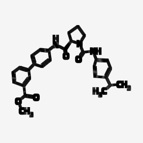 COC(=O)c1cccc(-c2ccc(NC(=O)[C@H]3CCCN3C(=O)Nc3ccc(C(C)C)cc3)cc2)c1